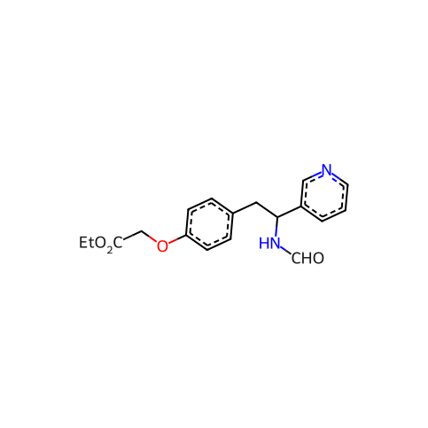 CCOC(=O)COc1ccc(CC(NC=O)c2cccnc2)cc1